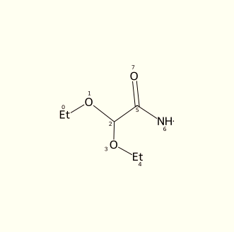 CCOC(OCC)C([NH])=O